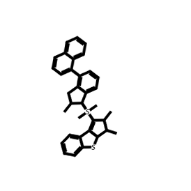 CC1Cc2c(-c3cccc4ccccc34)cccc2C1S(C)(C)C1=C2c3ccccc3SC2C(C)C1C